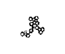 c1ccc2c(c1)-c1ccccc1C21c2ccccc2-c2c(N(c3ccc(-c4cccc5c4oc4ccccc45)cc3)c3ccc4c(c3)-c3cccc5cccc-4c35)cccc21